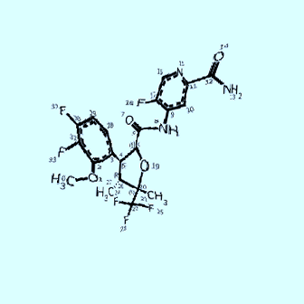 COc1c([C@H]2[C@@H](C(=O)Nc3cc(C(N)=O)ncc3F)O[C@](C)(C(F)(F)F)[C@@H]2C)ccc(F)c1F